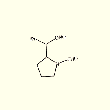 COC(C(C)C)C1CCCN1C=O